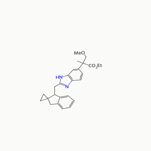 CCOC(=O)C(C)(COC)c1ccc2nc(CC3c4ccccc4CC34CC4)[nH]c2c1